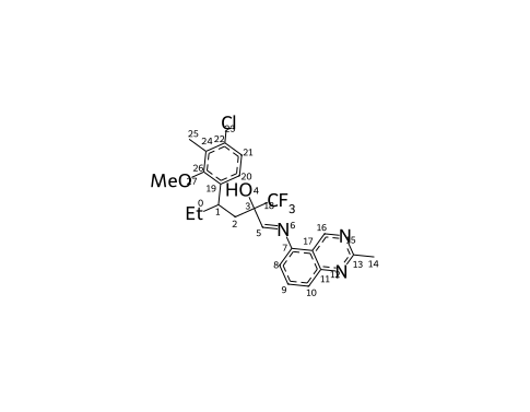 CCC(CC(O)(/C=N/c1cccc2nc(C)ncc12)C(F)(F)F)c1ccc(Cl)c(C)c1OC